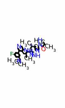 C/C=C(\C=C1/CNN=C1C1=C(CC)Cc2c(cncc2-c2cc(F)cc(CN(C)C)c2)N1)c1cncc(NC(=O)C(C)C)c1